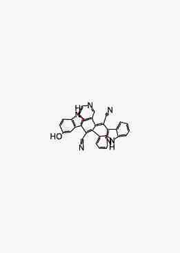 N#C/C(=C(/C(=C(/C#N)c1c[nH]c2ccc(O)cc12)c1cccnc1)c1cccnc1)c1c[nH]c2ccccc12